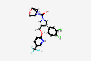 C[C@@H](Oc1ccc(C(F)(F)F)cn1)[C@@H]1CN(C(=O)N2CC3CC2CO3)C[C@@H]1c1ccc(Cl)c(Cl)c1